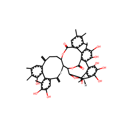 C=C1CC2C(CCC(=C)c3cc(C)c(C)c(O)c3-c3c1cc(O)c(O)c3C)OC(=O)c1cc(C)c(C)c(C)c1-c1c(C)c(O)c(O)c3c1C(=O)OC2C1OC(=O)c2c-3c(O)c(O)c(O)c2[C@@H]1C